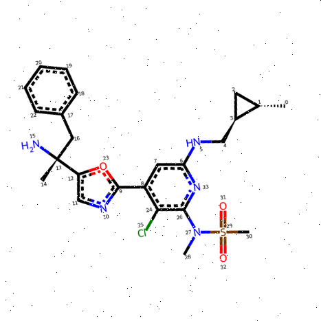 C[C@H]1C[C@@H]1CNc1cc(-c2ncc([C@](C)(N)Cc3ccccc3)o2)c(Cl)c(N(C)S(C)(=O)=O)n1